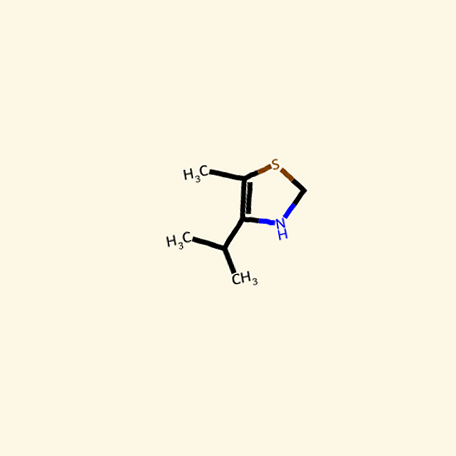 CC1=C(C(C)C)NCS1